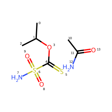 CC(C)OC(=S)S(N)(=O)=O.CC(N)=O